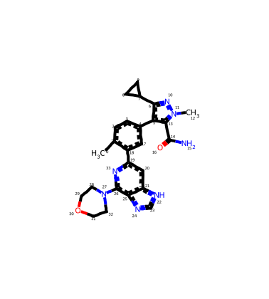 Cc1ccc(-c2c(C3CC3)nn(C)c2C(N)=O)cc1-c1cc2[nH]cnc2c(N2CCOCC2)n1